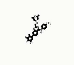 Cc1c(-c2ccc3c(Nc4ccc(C(F)(F)F)cc4)nc(CON4CC(C)OC(C)C4)nc3c2)cc(F)c(F)c1F